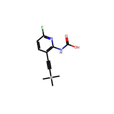 C[Si](C)(C)C#Cc1ccc(F)nc1NC(=O)O